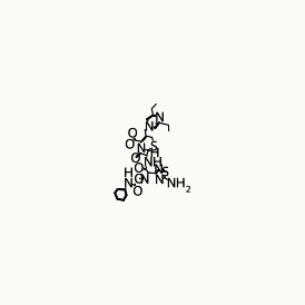 CCc1c[n+](CC2=C(C(=O)[O-])N3C(=O)C(NC(=O)/C(=N\OC(=O)Nc4ccccc4)c4nsc(N)n4)[C@H]3SC2)cc(CC)n1